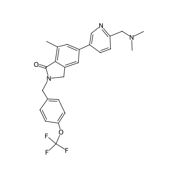 Cc1cc(-c2ccc(CN(C)C)nc2)cc2c1C(=O)N(Cc1ccc(OC(F)(F)F)cc1)C2